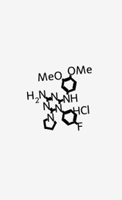 COc1ccc(NC2N=C(N)N=C(N3CCCC3)N2c2ccc(F)cc2)cc1OC.Cl